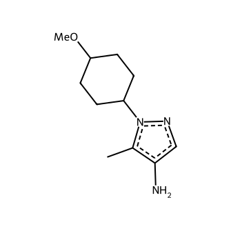 COC1CCC(n2ncc(N)c2C)CC1